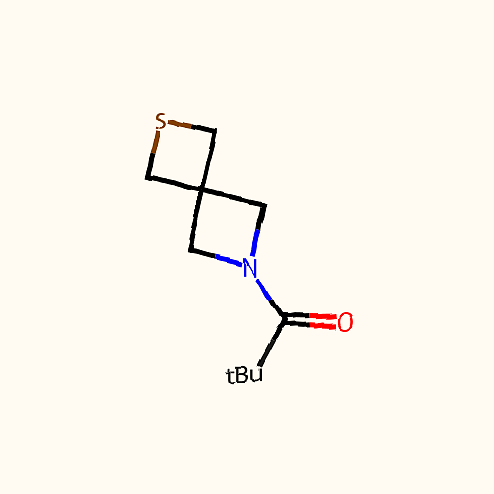 CC(C)(C)C(=O)N1CC2(CSC2)C1